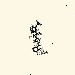 COc1cccc(C(C)N2CC(NC(=O)c3cc(C4CC4)cnn3)C2)c1Cl